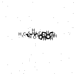 Cc1cnc(NC(=O)C[C@H]2CC[C@H]3[C@@H]4CC[C@H]5NOC=C[C@]5(C)[C@H]4CC[C@]23C)s1